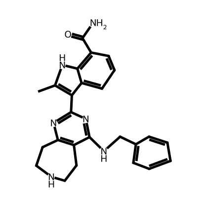 Cc1[nH]c2c(C(N)=O)cccc2c1-c1nc2c(c(NCc3ccccc3)n1)CCNCC2